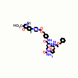 C=C(N[C@@H](Cc1ccco1)C(=O)N[C@@H](CCCNC(N)=O)C(=O)Nc1ccc(COC(=O)N2CCN(c3cc4c(cc3F)c(=O)c(C(=O)O)cn4CC)CC2)cc1)OCc1ccccc1